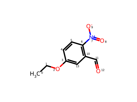 CCOc1ccc([N+](=O)[O-])c(C=O)c1